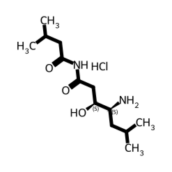 CC(C)CC(=O)NC(=O)C[C@H](O)[C@@H](N)CC(C)C.Cl